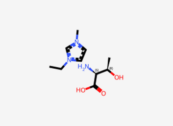 CC[n+]1ccn(C)c1.C[C@@H](O)[C@H](N)C(=O)O